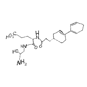 NC(O)CNC(=O)C(CCC(=O)O)NC(=O)CCC1CC=C(C2=CCCC=C2)CC1